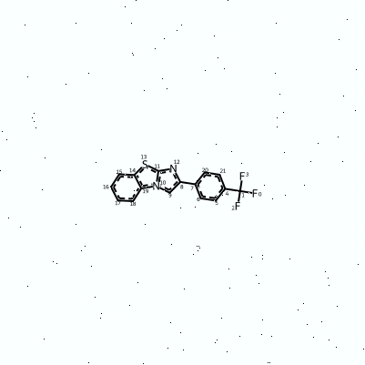 FC(F)(F)c1ccc(-c2cn3c(n2)sc2ccccc23)cc1